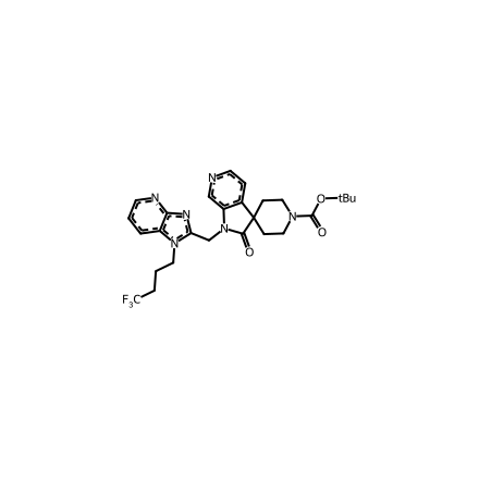 CC(C)(C)OC(=O)N1CCC2(CC1)C(=O)N(Cc1nc3ncccc3n1CCCC(F)(F)F)c1cnccc12